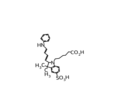 CC1(C)c2cc(S(=O)(=O)O)ccc2N(CCCCCC(=O)O)C1/C=C/C=C/Nc1ccccc1